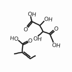 CC=C(C)C(=O)O.O=C(O)C(O)C(O)C(=O)O